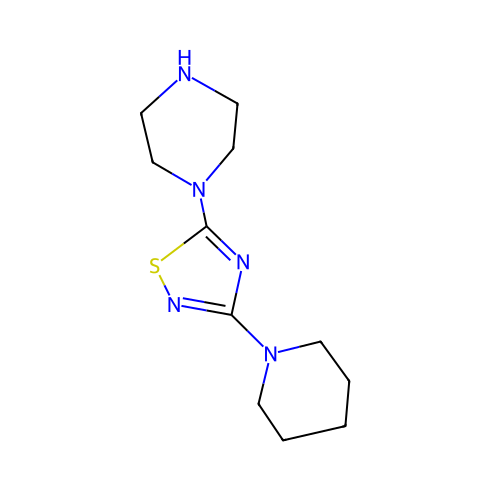 C1CCN(c2nsc(N3CCNCC3)n2)CC1